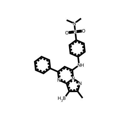 Bc1c(C)nn2c(Nc3ccc(S(=O)(=O)N(C)C)cc3)cc(-c3ccccc3)nc12